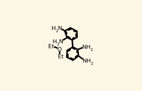 CCOCC.Nc1cccc(-c2cccc(N)c2N)c1N